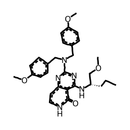 CCC[C@@H](COC)Nc1nc(N(Cc2ccc(OC)cc2)Cc2ccc(OC)cc2)nc2cc[nH]c(=O)c12